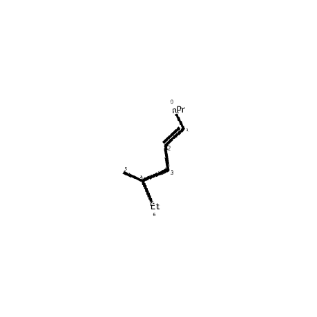 [CH2]CCC=CCC(C)CC